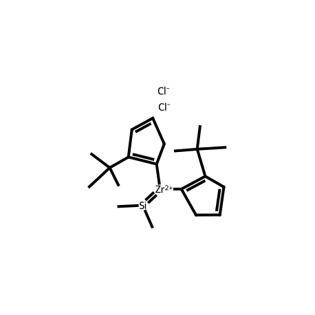 C[Si](C)=[Zr+2]([C]1=C(C(C)(C)C)C=CC1)[C]1=C(C(C)(C)C)C=CC1.[Cl-].[Cl-]